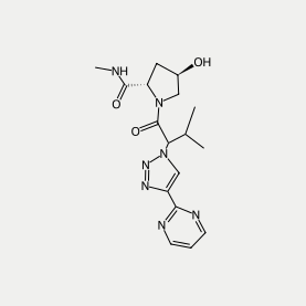 CNC(=O)[C@@H]1C[C@@H](O)CN1C(=O)C(C(C)C)n1cc(-c2ncccn2)nn1